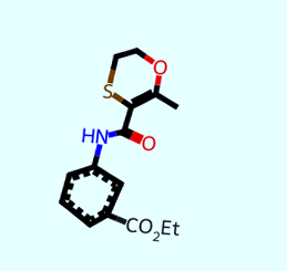 CCOC(=O)c1cccc(NC(=O)C2=C(C)OCCS2)c1